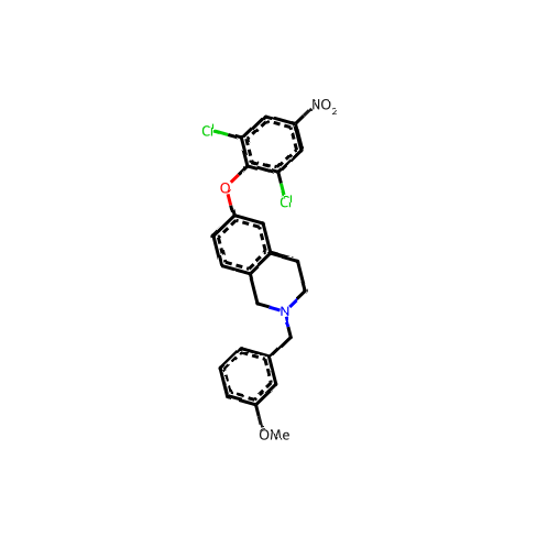 COc1cccc(CN2CCc3cc(Oc4c(Cl)cc([N+](=O)[O-])cc4Cl)ccc3C2)c1